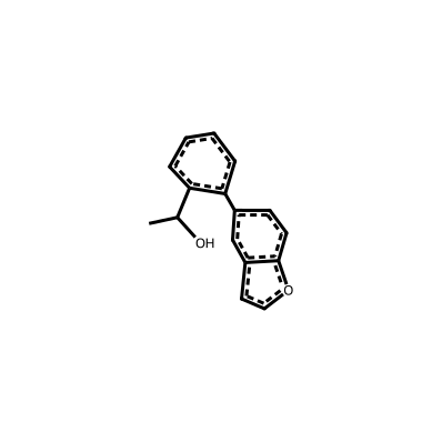 CC(O)c1ccccc1-c1ccc2occc2c1